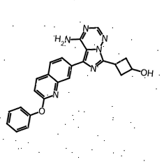 Nc1ncnn2c(C3CC(O)C3)nc(-c3ccc4ccc(Oc5ccccc5)nc4c3)c12